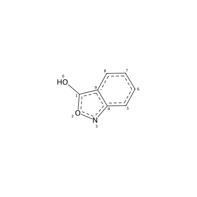 Oc1onc2ccccc12